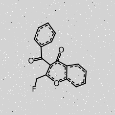 O=C(c1ccccc1)c1c(CF)oc2ccccc2c1=O